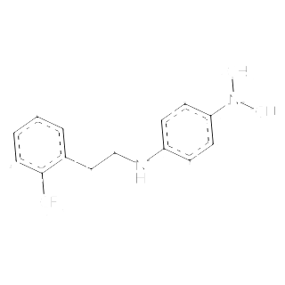 CN(C)c1ccc(NCCc2ccccc2C(F)(F)F)cc1